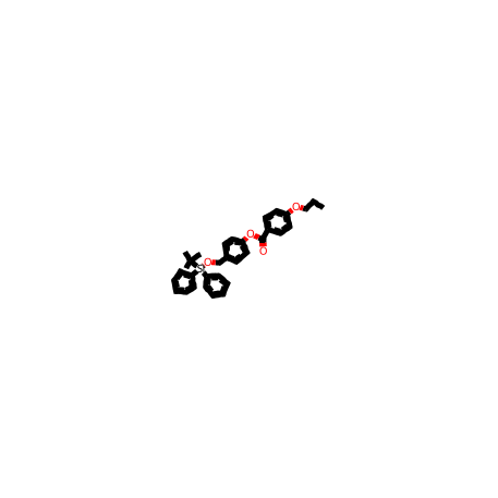 CCCOc1ccc(C(=O)Oc2ccc(CO[Si](c3ccccc3)(c3ccccc3)C(C)(C)C)cc2)cc1